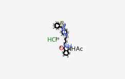 CC(=O)Nc1ccccc1C(=O)NCCCCN1CCN(c2nsc3ccccc23)CC1.Cl